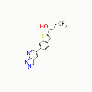 Cn1cc2cc(-c3ccc4cc([C@H](O)CCC(F)(F)F)sc4c3)cnc2n1